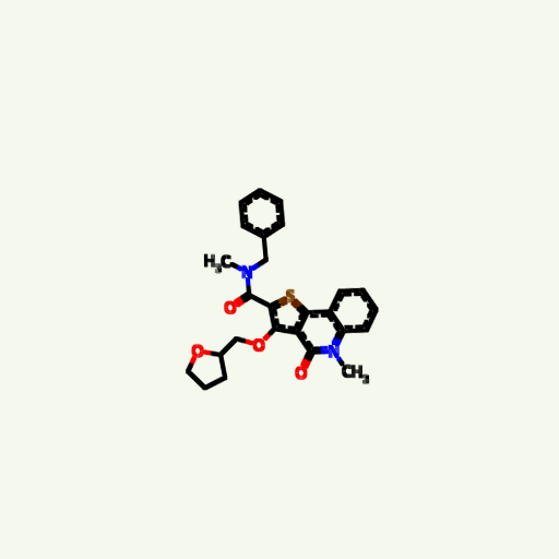 CN(Cc1ccccc1)C(=O)c1sc2c(c1OCC1CCCO1)c(=O)n(C)c1ccccc21